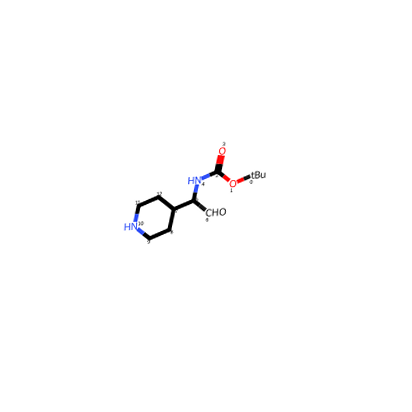 CC(C)(C)OC(=O)NC(C=O)C1CCNCC1